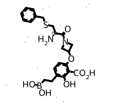 N[C@H](CSCc1ccccc1)C(=O)N1CC(Oc2ccc(CCB(O)O)c(O)c2C(=O)O)C1